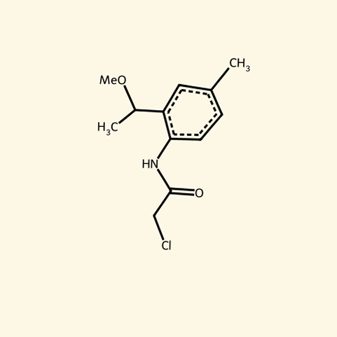 COC(C)c1cc(C)ccc1NC(=O)CCl